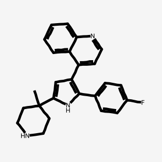 CC1(c2cc(-c3ccnc4ccccc34)c(-c3ccc(F)cc3)[nH]2)CCNCC1